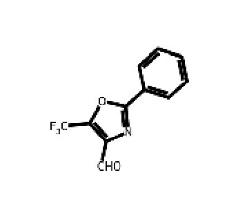 O=Cc1nc(-c2ccccc2)oc1C(F)(F)F